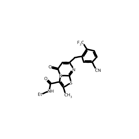 CCNC(=O)c1c(C)sc2nc(Cc3cc(C#N)ccc3C(F)(F)F)cc(=O)n12